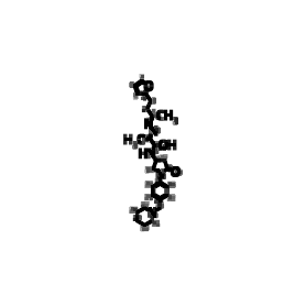 C/C(CCc1ccco1)=N\N=C(/C)C(O)NC1CC(=O)N(c2ccc(CN3CCCCC3)cc2)C1